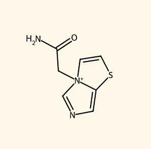 NC(=O)C[N+]12C=CSC1=CN=C2